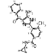 Cc1ccc(C(=O)NC2CC2)cc1-c1nc(C(=O)c2ccccc2)c(N)[nH]1